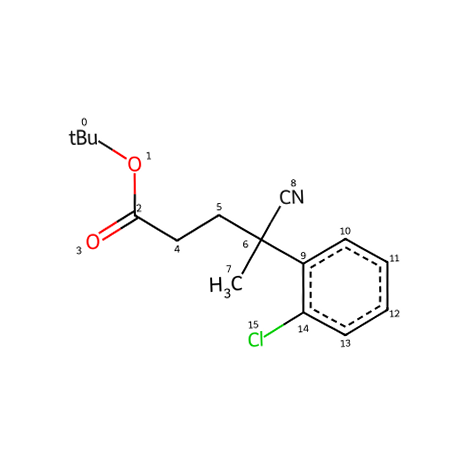 CC(C)(C)OC(=O)CCC(C)(C#N)c1ccccc1Cl